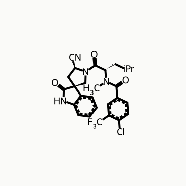 CC(C)C[C@@H](C(=O)N1C[C@]2(C[C@H]1C#N)C(=O)Nc1ccccc12)N(C)C(=O)c1ccc(Cl)c(C(F)(F)F)c1